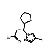 O=C(O)C[C@H](C1CCCC1)n1cc(I)cn1